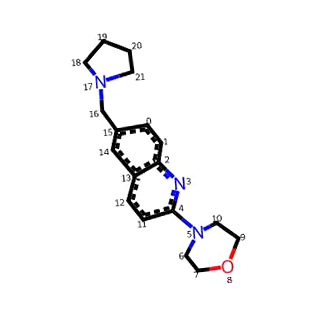 c1cc2nc(N3CCOCC3)ccc2cc1CN1CCCC1